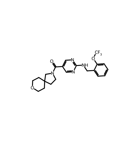 O=C(c1cnc(NCc2ccccc2OC(F)(F)F)nc1)N1CCC2(CCOCC2)C1